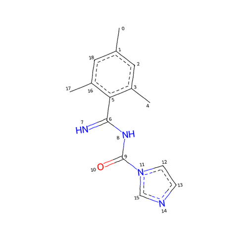 Cc1cc(C)c(C(=N)NC(=O)n2ccnc2)c(C)c1